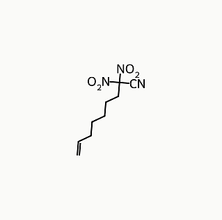 C=CCCCCCC(C#N)([N+](=O)[O-])[N+](=O)[O-]